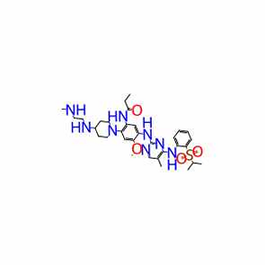 CCC(=O)Nc1cc(Nc2ncc(C)c(Nc3ccccc3S(=O)(=O)C(C)C)n2)c(OC)cc1N1CCC(NCCNC)CC1